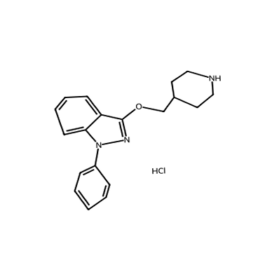 Cl.c1ccc(-n2nc(OCC3CCNCC3)c3ccccc32)cc1